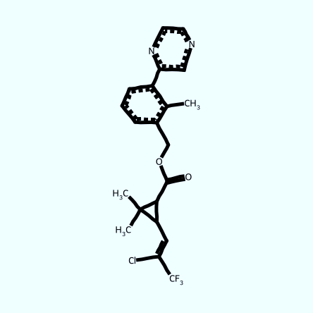 Cc1c(COC(=O)C2C(C=C(Cl)C(F)(F)F)C2(C)C)cccc1-c1cnccn1